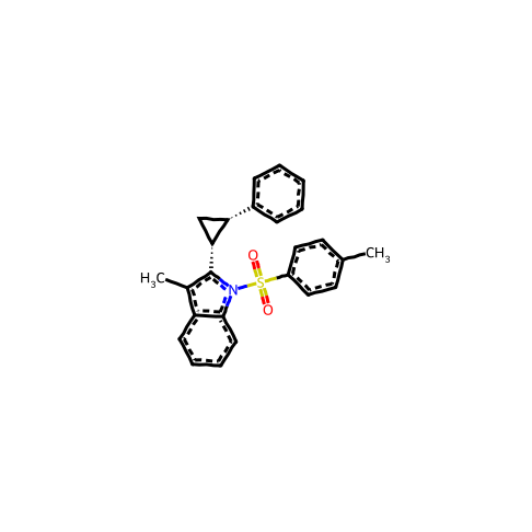 Cc1ccc(S(=O)(=O)n2c([C@@H]3C[C@@H]3c3ccccc3)c(C)c3ccccc32)cc1